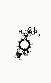 CC(C)(C)OC(=O)N1CCCC(=O)c2c(cnn2C2COC2)CCC1